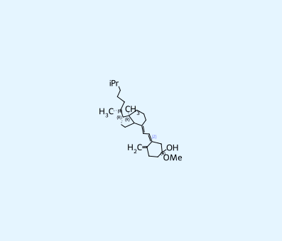 C=C1CC[C@@](O)(OC)C/C1=C/C=C1CCC[C@@]2(C)C1CC[C@@H]2[C@H](C)CCCC(C)C